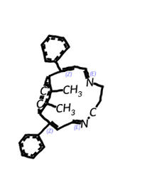 Cc1c2ccc(c1C)/C(c1ccccc1)=C\C=N\CCC/N=C/C=C\2c1ccccc1